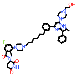 Cc1nn2c(N3CCN(CCO)CC3)cc(-c3cccc(CCCCCCCN4CCN(c5cc(F)cc6c5CN(C5CCC(=O)NC5=O)C6=O)CC4)c3)nc2c1-c1ccccc1